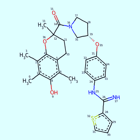 Cc1c(C)c2c(c(C)c1O)CCC(C)(C(=O)N1CC[C@H](Oc3ccc(NC(=N)c4cccs4)cc3)C1)O2